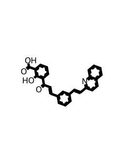 O=C(O)c1cccc(C(=O)C=Cc2cccc(C=Cc3ccc4ccccc4n3)c2)c1O